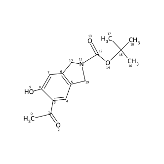 CC(=O)c1cc2c(cc1O)CN(C(=O)OC(C)(C)C)C2